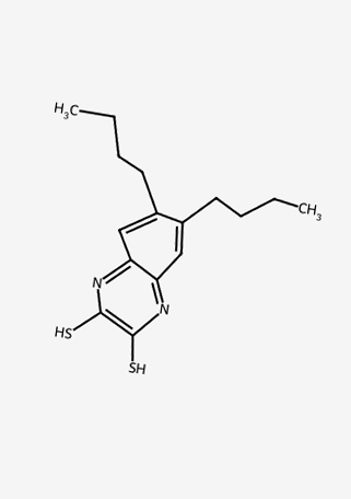 CCCCc1cc2nc(S)c(S)nc2cc1CCCC